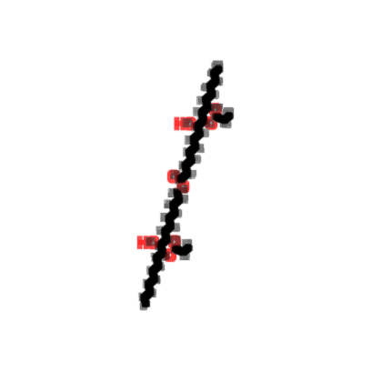 CCCCCCCCC(OC(=O)CC)C(O)CCCCCCCCOC(=O)CCCCCCCC(O)C(CCCCCCCC)OC(=O)CC